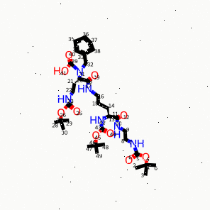 CC(C)(C)OC(=O)NCCNC(=O)[C@H](CCCNC(=O)[C@H](CCNC(=O)OC(C)(C)C)N(Cc1ccccc1)C(=O)O)NC(=O)OC(C)(C)C